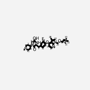 CN1CCC(NC(=O)C(Cc2ccc(Oc3ccnc4c3c(I)cn4COCC[Si](C)(C)C)c(F)c2)NC(=O)O)CC1